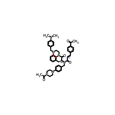 CC(=O)c1ccc(/C=C/C(=O)N(Cc2ccc(N3CCN(C(C)=O)CC3)cc2)[C@@H](Cc2ccccc2)C(=O)N2CCN(Cc3ccc(N(C)C)cc3)CC2)cc1